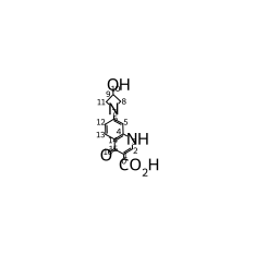 O=C(O)c1c[nH]c2cc(N3CC(O)C3)ccc2c1=O